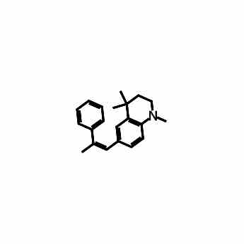 CC(=Cc1ccc2c(c1)C(C)(C)CCN2C)c1ccccc1